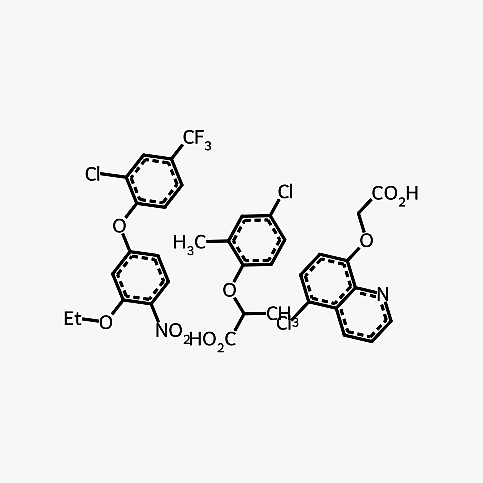 CCOc1cc(Oc2ccc(C(F)(F)F)cc2Cl)ccc1[N+](=O)[O-].Cc1cc(Cl)ccc1OC(C)C(=O)O.O=C(O)COc1ccc(Cl)c2cccnc12